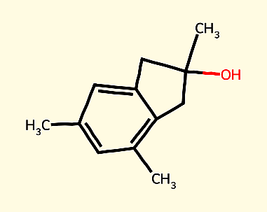 Cc1cc(C)c2c(c1)CC(C)(O)C2